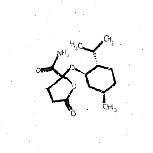 CC(C)[C@@H]1CC[C@@H](C)C[C@H]1OC1(C(N)=O)[CH]CC(=O)O1